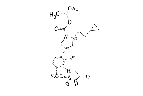 CC(=O)OC(C)OC(=O)N1CC(c2ccc(O)c(N3CC(=O)NS3(=O)=O)c2F)=C[C@H]1CCC1CC1